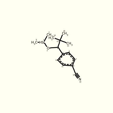 C[SiH](C)OC(c1ccc(C#N)cc1)C(C)(C)C